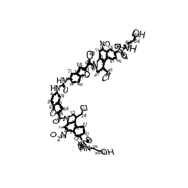 O=C(Nc1ccc2oc(C(=O)N3CC(CCl)c4c3cc([N+](=O)[O-])c3cc(S(=O)(=O)NCCO)ccc43)cc2c1)Nc1ccc2oc(C(=O)N3CC(CCl)c4c3cc([N+](=O)[O-])c3cc(S(=O)(=O)NCCO)ccc43)cc2c1